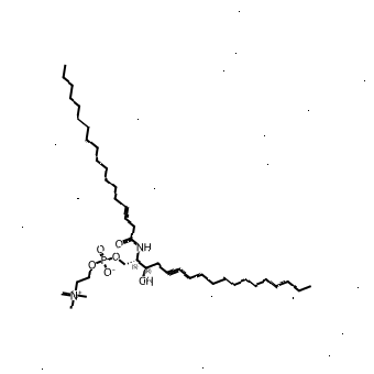 CCCCCCCCCCCCC=CC[C@@H](O)[C@H](COP(=O)([O-])OCC[N+](C)(C)C)NC(=O)CC=CCCCCCCCCCCCCCC